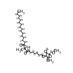 B[C@@H]1O[C@H](COC)C(OI)C1OCCCCCCNC(=O)C(C)OC(=O)CCCCCCCCCCCCCCC